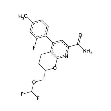 Cc1ccc(-c2cc(C(N)=O)nc3c2CC[C@@H](COC(F)F)O3)c(F)c1